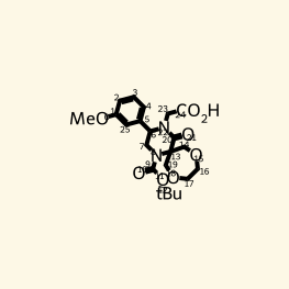 COc1cccc(C2CN(C(=O)OC(C)(C)C)C3(COCCOC3)C(=O)N2CC(=O)O)c1